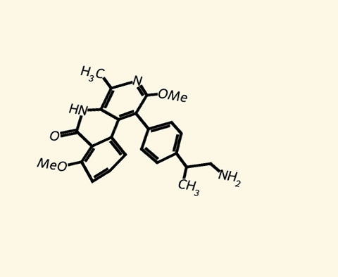 COc1nc(C)c2[nH]c(=O)c3c(OC)cccc3c2c1-c1ccc(C(C)CN)cc1